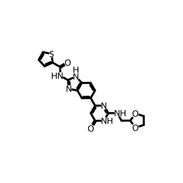 O=C(Nc1nc2cc(-c3cc(=O)[nH]c(NCC4OCCO4)n3)ccc2[nH]1)c1cccs1